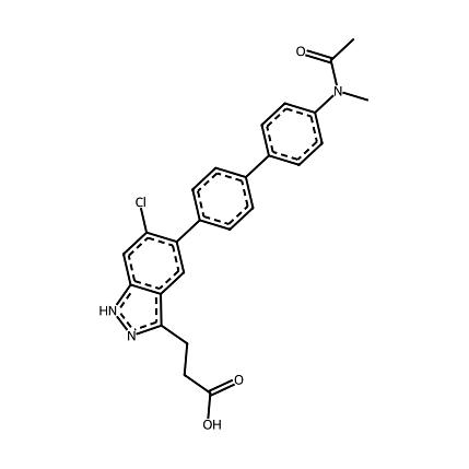 CC(=O)N(C)c1ccc(-c2ccc(-c3cc4c(CCC(=O)O)n[nH]c4cc3Cl)cc2)cc1